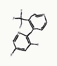 Fc1cnc(-c2ccn[c]c2C(F)(F)F)c(F)c1